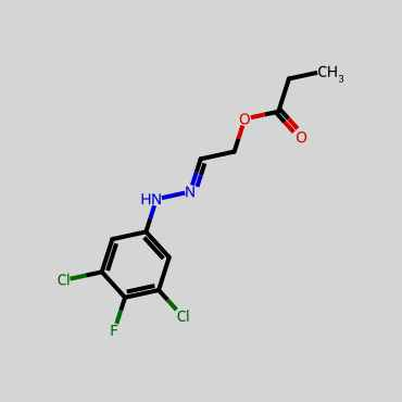 CCC(=O)OCC=NNc1cc(Cl)c(F)c(Cl)c1